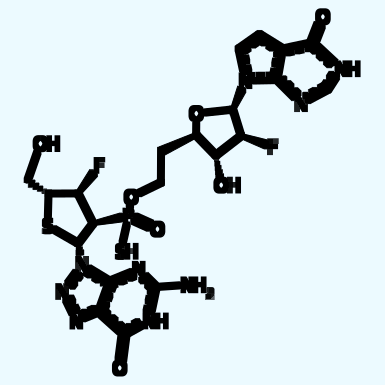 Nc1nc2c(nnn2[C@@H]2S[C@H](CO)[C@@H](F)[C@H]2P(=O)(S)OCC[C@H]2O[C@@H](n3ccc4c(=O)[nH]cnc43)[C@@H](F)[C@@H]2O)c(=O)[nH]1